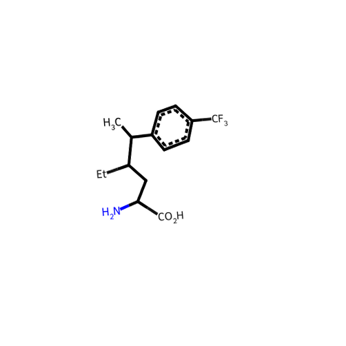 CCC(CC(N)C(=O)O)C(C)c1ccc(C(F)(F)F)cc1